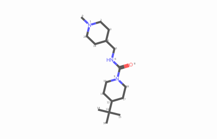 CN1CCC(CNC(=O)N2CCC(C(C)(C)C)CC2)CC1